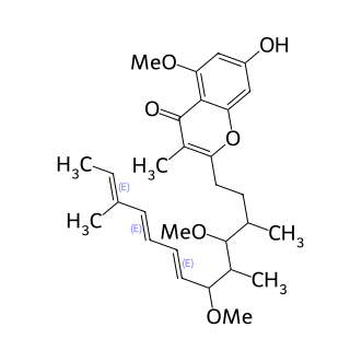 C/C=C(C)/C=C/C=C/C(OC)C(C)C(OC)C(C)CCc1oc2cc(O)cc(OC)c2c(=O)c1C